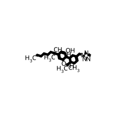 CCCCCCC(C)(C)C1=CC2OC(C)(C)[C@H]3CC=C(Cn4ncnn4)CC3[C@@H]2C(O)=C1